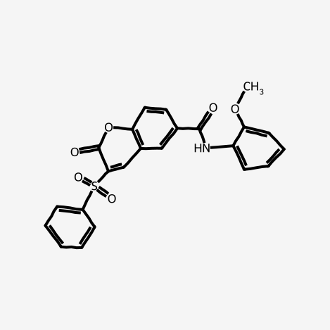 COc1ccccc1NC(=O)c1ccc2oc(=O)c(S(=O)(=O)c3ccccc3)cc2c1